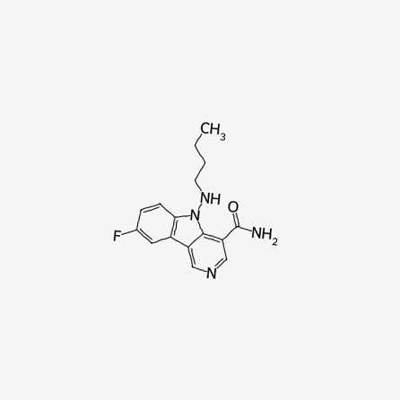 CCCCNn1c2ccc(F)cc2c2cncc(C(N)=O)c21